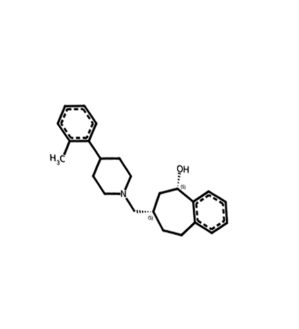 Cc1ccccc1C1CCN(C[C@H]2CCc3ccccc3[C@@H](O)C2)CC1